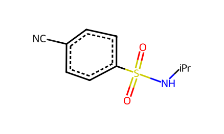 CC(C)NS(=O)(=O)c1ccc(C#N)cc1